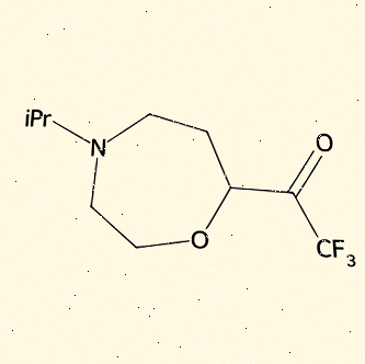 CC(C)N1CCOC(C(=O)C(F)(F)F)CC1